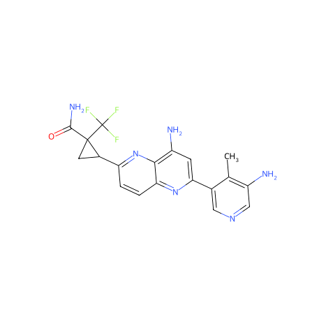 Cc1c(N)cncc1-c1cc(N)c2nc(C3CC3(C(N)=O)C(F)(F)F)ccc2n1